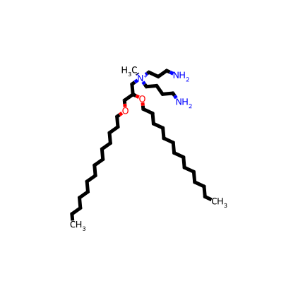 CCCCCCCCCCCCCCOCC(C[N+](C)(CCCN)CCCCN)OCCCCCCCCCCCCCC